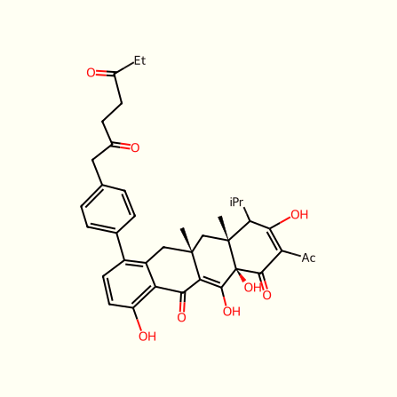 CCC(=O)CCC(=O)Cc1ccc(-c2ccc(O)c3c2C[C@]2(C)C[C@]4(C)C(C(C)C)C(O)=C(C(C)=O)C(=O)[C@]4(O)C(O)=C2C3=O)cc1